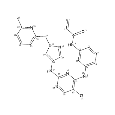 C=CC(=O)Nc1cccc(Nc2nc(Nc3cnn(Cc4cccc(C)n4)c3)ncc2Cl)c1